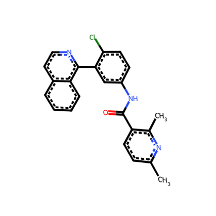 Cc1ccc(C(=O)Nc2ccc(Cl)c(-c3nccc4ccccc34)c2)c(C)n1